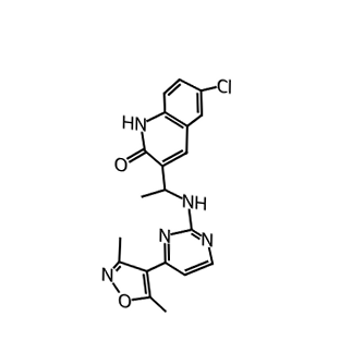 Cc1noc(C)c1-c1ccnc(NC(C)c2cc3cc(Cl)ccc3[nH]c2=O)n1